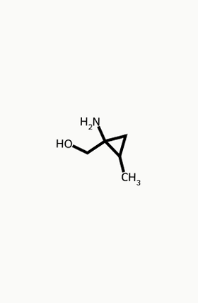 CC1CC1(N)CO